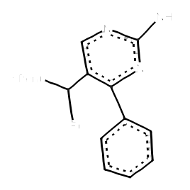 CCCCCC(CC)c1cnc(N)nc1-c1ccccc1